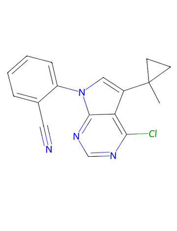 CC1(c2cn(-c3ccccc3C#N)c3ncnc(Cl)c23)CC1